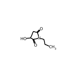 CCCN1C(=O)CC(O)C1=O